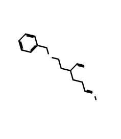 C=CC(CCC=NO)CCOCc1ccccc1